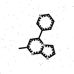 Cc1cc(-c2cccnc2)n2ccnc2n1